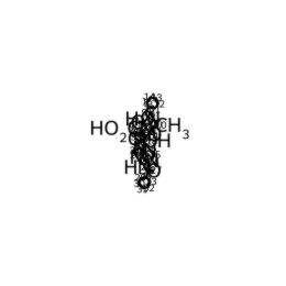 C[C@H](N)C(=O)N(C(=O)OCc1ccccc1)[C@H]1[C@@H](O)[C@H](n2cnc3c(NC(=O)c4ccccc4)ncnc32)O[C@@H]1C(=O)O